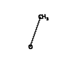 CCCCCCCCCCCCCCCCCCCCCCCCCCC=O